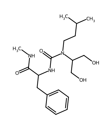 CNC(=O)C(Cc1ccccc1)NC(=O)N(CCC(C)C)C(CO)CO